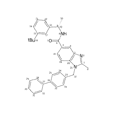 Cc1nc2cc(C(=O)N[C@@H](C)c3cccc(C(C)(C)C)c3)ccc2n1Cc1ccc(-c2ccccc2)cc1